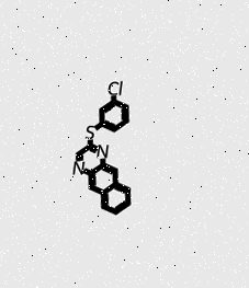 Clc1cccc(Sc2cnc3cc4ccccc4cc3n2)c1